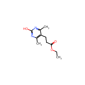 CCOC(=O)CCc1c(C)nc(O)nc1C